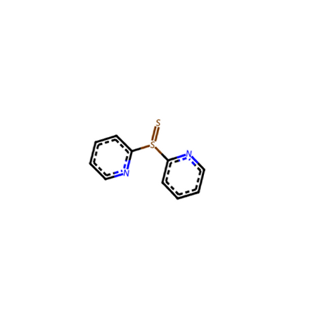 S=S(c1ccccn1)c1ccccn1